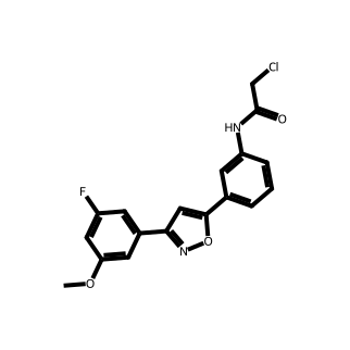 COc1cc(F)cc(-c2cc(-c3cccc(NC(=O)CCl)c3)on2)c1